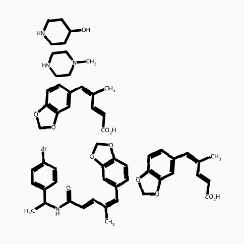 CC(C=CC(=O)NC(C)c1ccc(Br)cc1)=Cc1ccc2c(c1)OCO2.CC(C=CC(=O)O)=Cc1ccc2c(c1)OCO2.CC(C=CC(=O)O)=Cc1ccc2c(c1)OCO2.CN1CCNCC1.OC1CCNCC1